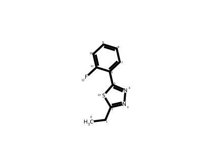 CCc1nnc(-c2ccccc2F)s1